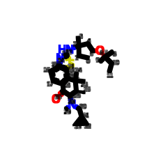 CCC(C)(CCOC(C)(C)CC)Nc1nc2ccc3c(c2s1)C(C)(C)[C@@H](C)C(N(C)CC1CC1)C3=O